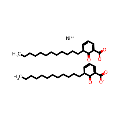 CCCCCCCCCCCCC1C=CC=C(C(=O)[O-])C1=O.CCCCCCCCCCCCC1C=CC=C(C(=O)[O-])C1=O.[Ni+2]